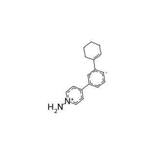 N[n+]1ccc(-c2cc[c]c(C3=CCCCC3)c2)cc1